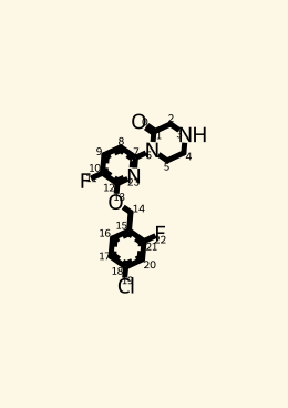 O=C1CNCCN1c1ccc(F)c(OCc2ccc(Cl)cc2F)n1